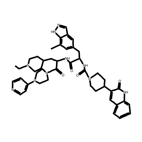 CCN1CCC(CC(NC(=O)C(Cc2cc(C)c3[nH]ncc3c2)NC(=O)N2CCC(c3cc4ccccc4[nH]c3=O)CC2)C(=O)N2CCN(c3ccncc3)CC2)CC1